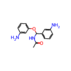 CC(=O)NC(Oc1cccc(N)c1)c1cccc(N)c1